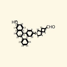 O=CC1CC2(CCN(c3ccc([C@@H]4c5ccc(O)cc5CC[C@@H]4c4ccccc4)cc3)C2)C1